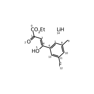 CCOC(=O)C(=O)C=C(O)c1cc(C)cc(F)c1.[LiH]